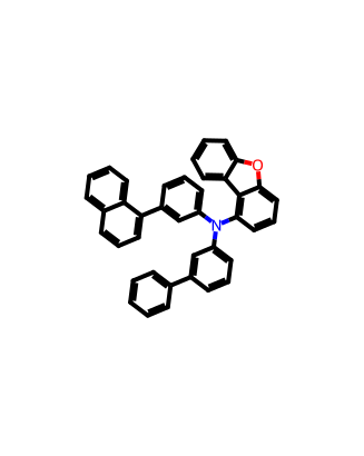 c1ccc(-c2cccc(N(c3cccc(-c4cccc5ccccc45)c3)c3cccc4oc5ccccc5c34)c2)cc1